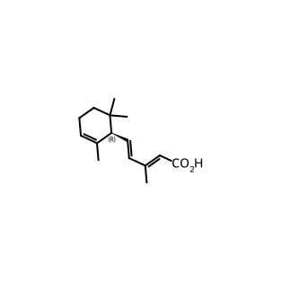 CC(C=C[C@H]1C(C)=CCCC1(C)C)=CC(=O)O